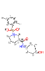 Cc1ccc(C)c(S(=O)(=O)N2CCC[C@H](C(=O)NC3CCC(O)CC3)C2)c1